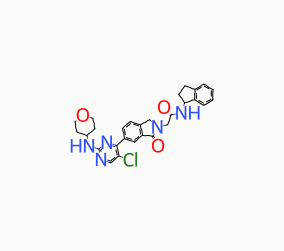 O=C(CN1Cc2ccc(-c3nc(NC4CCOCC4)ncc3Cl)cc2C1=O)NC1CCc2ccccc21